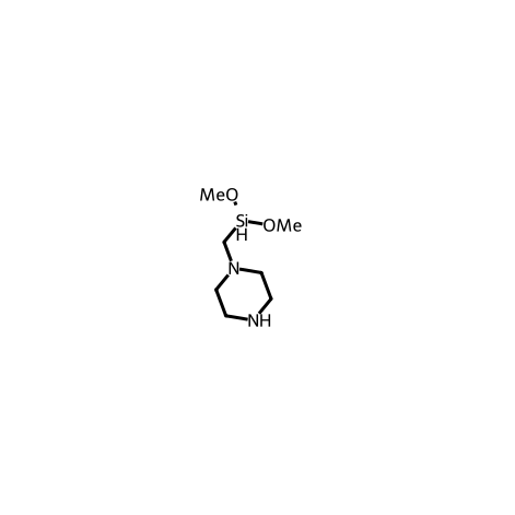 CO[SiH](CN1CCNCC1)OC